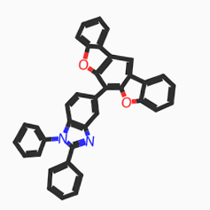 c1ccc(-c2nc3cc(-c4c5oc6ccccc6c5cc5c4oc4ccccc45)ccc3n2-c2ccccc2)cc1